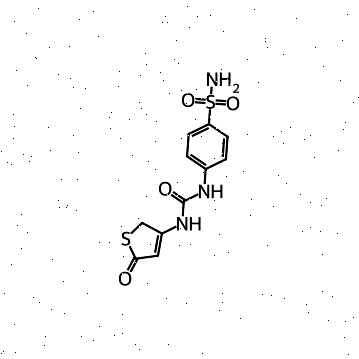 NS(=O)(=O)c1ccc(NC(=O)NC2=CC(=O)SC2)cc1